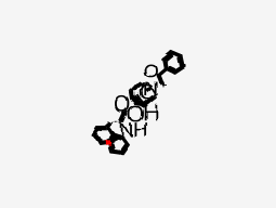 O=C(C[N+]12CCC(CC1)[C@@H](OC(=O)[C@@H](Cc1ccccc1)Nc1ccccc1)C2)c1ccccc1